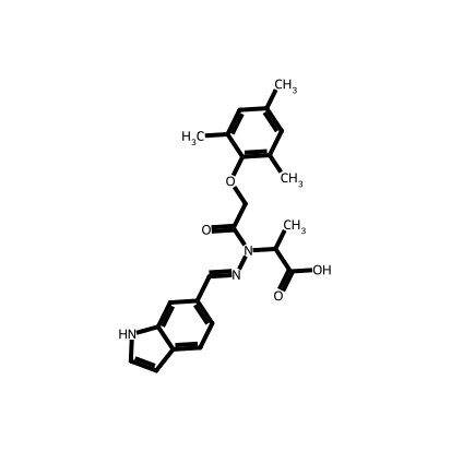 Cc1cc(C)c(OCC(=O)N(/N=C/c2ccc3cc[nH]c3c2)C(C)C(=O)O)c(C)c1